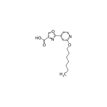 CCCCCCCOc1cc(-c2nc(C(=O)O)co2)ccn1